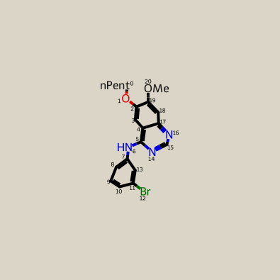 CCCCCOc1cc2c(Nc3cccc(Br)c3)ncnc2cc1OC